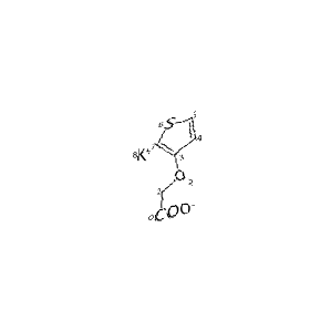 O=C([O-])COc1ccsc1.[K+]